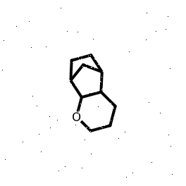 C1COC2C3CCC(C3)C2C1